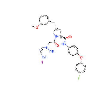 COc1cccc(C[C@@H]2C[C@@H](C(=O)Nc3ccc(Oc4ccc(F)cc4)cc3)N(C(=O)CN(N)/C=C\NI)C2)c1